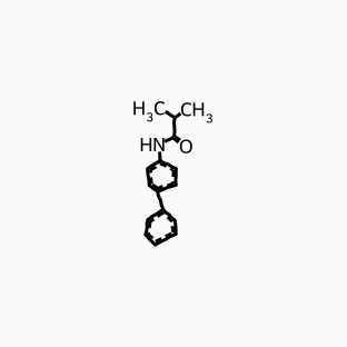 CC(C)C(=O)Nc1ccc(-c2ccccc2)cc1